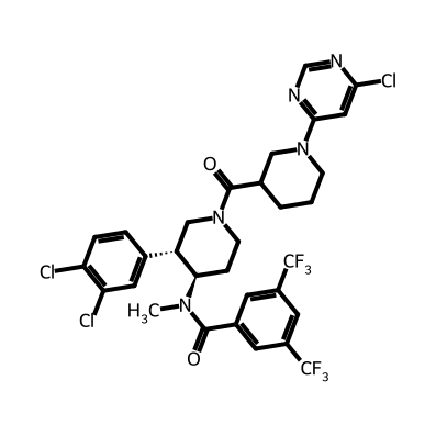 CN(C(=O)c1cc(C(F)(F)F)cc(C(F)(F)F)c1)[C@@H]1CCN(C(=O)C2CCCN(c3cc(Cl)ncn3)C2)C[C@H]1c1ccc(Cl)c(Cl)c1